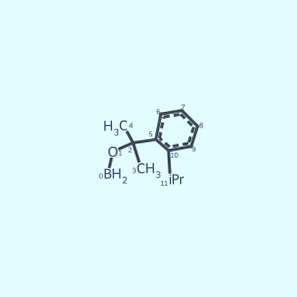 BOC(C)(C)c1ccccc1C(C)C